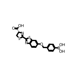 O=C(O)[C@H]1CSC(c2nc3ccc(OCc4ccc(B(O)O)cc4)cc3s2)=N1